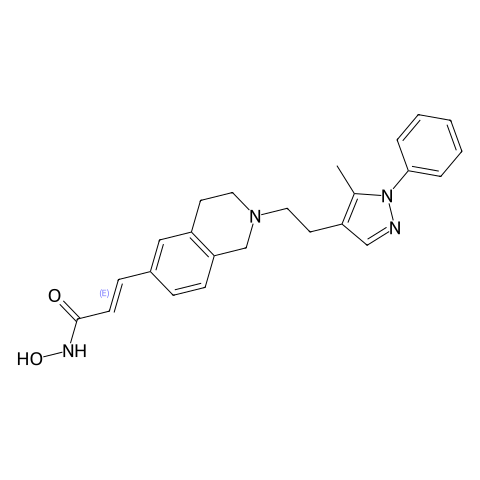 Cc1c(CCN2CCc3cc(/C=C/C(=O)NO)ccc3C2)cnn1-c1ccccc1